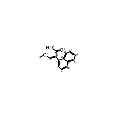 COC=C(C(=O)O)c1cccc2ccccc12